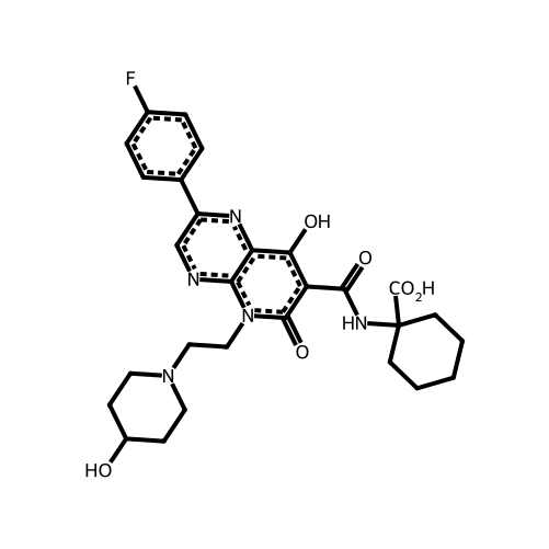 O=C(NC1(C(=O)O)CCCCC1)c1c(O)c2nc(-c3ccc(F)cc3)cnc2n(CCN2CCC(O)CC2)c1=O